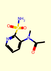 CC(=O)N(C)c1cccnc1S(N)(=O)=O